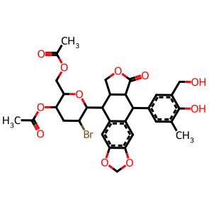 CC(=O)OCC1OC(C2c3cc4c(cc3C(c3cc(C)c(O)c(CO)c3)C3C(=O)OCC32)OCO4)C(Br)CC1OC(C)=O